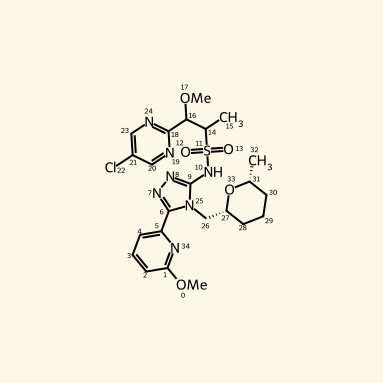 COc1cccc(-c2nnc(NS(=O)(=O)C(C)C(OC)c3ncc(Cl)cn3)n2C[C@H]2CCC[C@@H](C)O2)n1